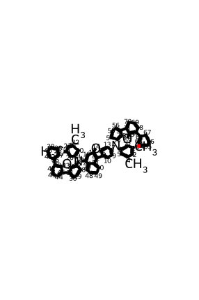 Cc1cc(C)cc(N(c2ccc3c(c2)oc2cc(N(c4cc(C)cc(C)c4)c4cccc5c4oc4c(-c6ccccc6)cccc45)c4ccccc4c23)c2cccc3c2oc2c(-c4ccccc4)cccc23)c1